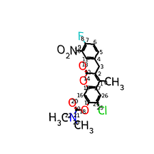 Cc1c(Cc2ccc(F)c([N+](=O)[O-])c2)c(=O)oc2cc(OC(=O)N(C)C)c(Cl)cc12